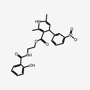 CC1=CC(c2cccc([N+](=O)[O-])c2)C(C(=O)OCCNC(=O)c2ccccc2O)=C(C)N1